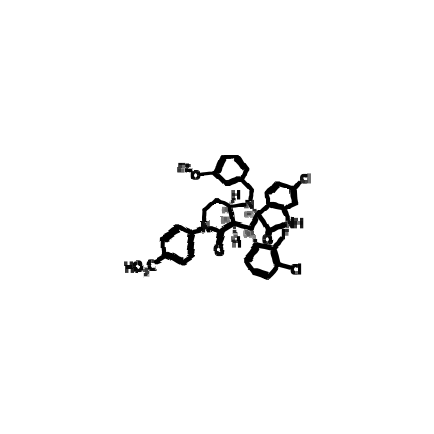 CCOc1cccc(CN2[C@@H]3CCN(c4ccc(C(=O)O)cc4)C(=O)[C@@H]3[C@@H](c3cccc(Cl)c3F)[C@@]23C(=O)Nc2cc(Cl)ccc23)c1